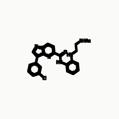 CC(=O)NCCNc1ccccc1NC(=O)c1ccn2ncc(-c3cccc(Cl)c3)c2n1